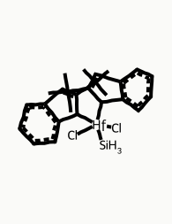 CC(C)(C)C1=Cc2ccccc2[CH]1[Hf]([SiH3])([Cl])([Cl])[CH]1C(C(C)(C)C)=Cc2ccccc21